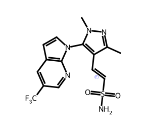 Cc1nn(C)c(-n2ccc3cc(C(F)(F)F)cnc32)c1/C=C/S(N)(=O)=O